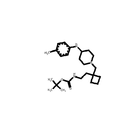 Cc1ccc(NC2CCN(CC3(CCNC(=O)OC(C)(C)C)CCC3)CC2)cc1